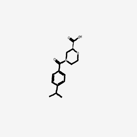 CC(C)c1ccc(C(=O)N2CCO[C@H](C(=O)O)C2)cc1